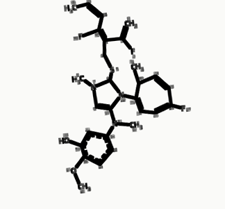 C=C(F)/C(CSC1N(C)C=C(N(C)c2ccc(OC)c(O)c2)N1C1=CC=C(F)C=CC1C)=C(F)\C=C/C